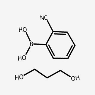 N#Cc1ccccc1B(O)O.OCCCO